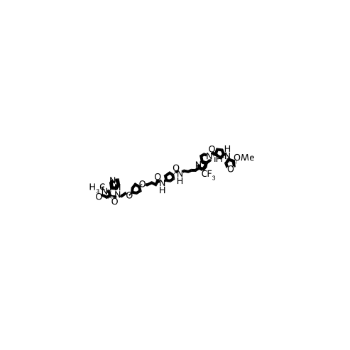 CO[C@@H]1COCC[C@@H]1N[C@@H]1CC[C@@](C(=O)N2CCc3nc(CCCCNC(=O)[C@H]4CC[C@H](NC(=O)CCCO[C@H]5CC[C@H](OCCNC(=O)[C@H]6CC(=O)N(C)[C@@H]6c6cccnc6)CC5)CC4)c(C(F)(F)F)cc3C2)(C(C)C)C1